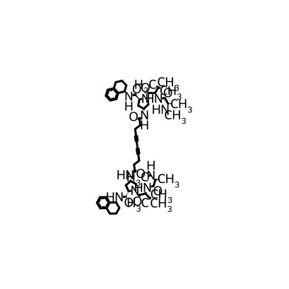 CN[C@@H](C)C(=O)NC(C(=O)N1C[C@@H](NC(=O)CCC#CC#CCCC(=O)N[C@H]2C[C@@H](C(=O)N[C@@H]3CCCc4ccccc43)N(C(=O)[C@@H](NC(=O)[C@H](C)NC)C(C)(C)C)C2)C[C@H]1C(=O)N[C@@H]1CCCc2ccccc21)C(C)(C)C